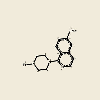 CCN1CCN(c2nccc3cc(OC)ccc23)CC1